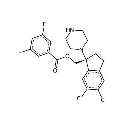 O=C(OC[C@@]1(N2CCNCC2)CCc2cc(Cl)c(Cl)cc21)c1cc(F)cc(F)c1